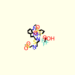 CCN(c1cccc2cc(-c3ncc(CN(C)CCS(C)(=O)=O)s3)[nH]c12)S(=O)(=O)c1cccs1.O=C(O)C(F)(F)F